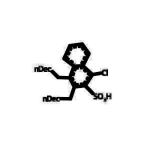 CCCCCCCCCCCc1c(S(=O)(=O)O)c(Cl)c2ccccc2c1CCCCCCCCCCC